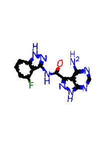 Nc1ncnc2[nH]nc(C(=O)Nc3n[nH]c4cccc(F)c34)c12